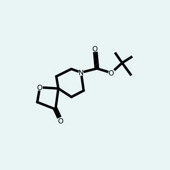 CC(C)(C)OC(=O)N1CCC2(CC1)OCC2=O